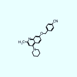 Cc1cc(N2CCCCC2)c2ccc(OCc3ccc(C#N)cc3)cc2n1